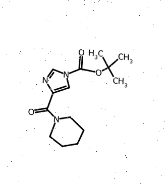 CC(C)(C)OC(=O)n1cnc(C(=O)N2CCCCC2)c1